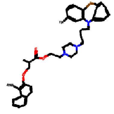 CC(=O)Nc1c(OCC(C)C(=O)OCCN2CCN(CCCN3c4ccccc4Sc4ccc(C(F)(F)F)cc43)CC2)ccc2ccccc12